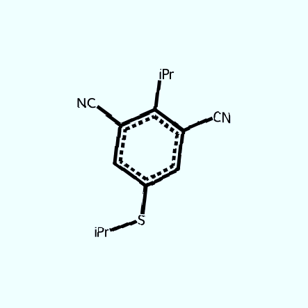 CC(C)Sc1cc(C#N)c(C(C)C)c(C#N)c1